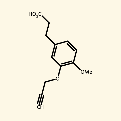 C#CCOc1cc(CCC(=O)O)ccc1OC